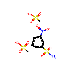 CS(=O)(=O)O.CS(=O)(=O)O.NS(=O)(=O)c1cccc([N+](=O)[O-])c1